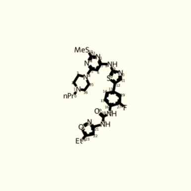 CCCN1CCN(c2cc(Nc3ncc(-c4ccc(NC(=O)Nc5cc(CC)on5)c(F)c4)s3)nc(SC)n2)CC1